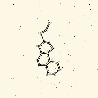 O=C=Nc1ccc2c(ccc3ccccc32)p1